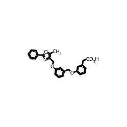 Cc1oc(-c2ccccc2)nc1COc1cccc(COc2cccc(CC(=O)O)c2)c1